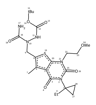 CCC1(n2c(=O)c3c(C)c(CN(NC(=O)OC(C)(C)C)C(N)=O)sc3n(CCOC)c2=O)CC1